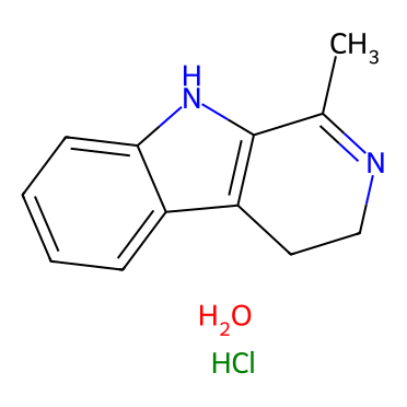 CC1=NCCc2c1[nH]c1ccccc21.Cl.O